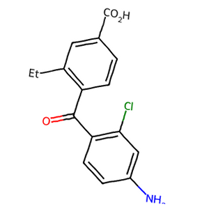 CCc1cc(C(=O)O)ccc1C(=O)c1ccc(N)cc1Cl